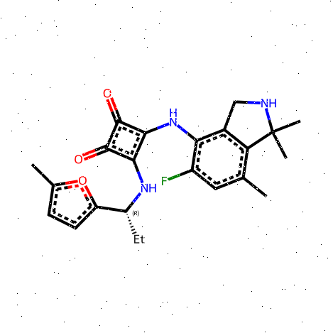 CC[C@@H](Nc1c(Nc2c(F)cc(C)c3c2CNC3(C)C)c(=O)c1=O)c1ccc(C)o1